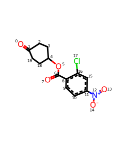 O=C1CCC(OC(=O)c2ccc([N+](=O)[O-])cc2Cl)CC1